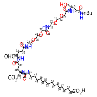 CCCCNC(=O)CC[C@@H](CO)NC(=O)COCCOCCNC(=O)COCCOCCNC(=O)CC[C@@H](C=O)NC(=O)CC[C@H](NC(=O)CCCCCCCCCCCCCCCCC(=O)O)C(=O)O